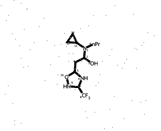 CCCN(C(O)CC1NC(C(F)(F)F)NO1)C1CC1